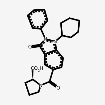 O=C(O)[C@@H]1CCCN1C(=O)c1ccc2c(c1)c(=O)n(-c1ccccc1)n2C1CCCCC1